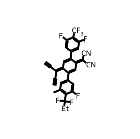 C#CC(C#C)=c1cc(-c2cc(F)c(C(F)(F)F)c(F)c2)c(=C(C#N)C#N)cc1-c1cc(C)c(C(F)(F)CC)c(F)c1